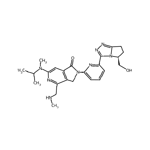 CNCc1nc(N(C)C(C)C)cc2c1CN(c1cccc(-c3nnc4n3[C@H](CO)CC4)n1)C2=O